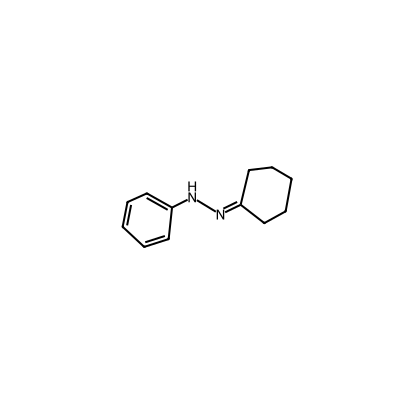 c1ccc(NN=C2CCCCC2)cc1